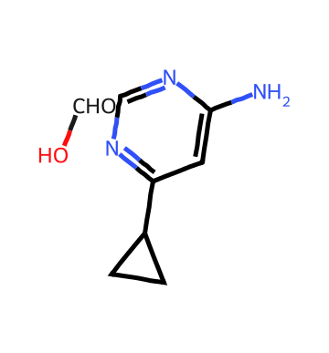 Nc1cc(C2CC2)ncn1.O=CO